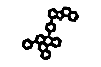 c1ccc(-c2ccc(N(c3ccc(-c4cccc5c4oc4c6ccccc6ccc54)cc3)c3ccccc3-c3cccc4ccccc34)cc2)cc1